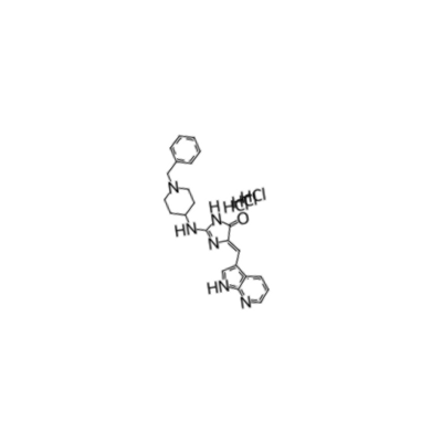 Cl.Cl.Cl.O=C1NC(NC2CCN(Cc3ccccc3)CC2)=NC1=Cc1c[nH]c2ncccc12